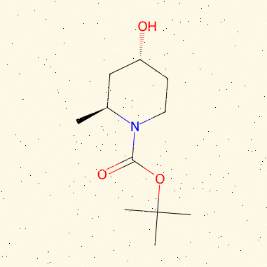 C[C@H]1C[C@H](O)CCN1C(=O)OC(C)(C)C